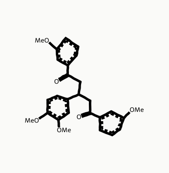 COc1cccc(C(=O)CC(CC(=O)c2cccc(OC)c2)c2ccc(OC)c(OC)c2)c1